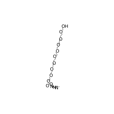 [N-]=[N+]=NOC(=O)OCCOCCOCCOCCOCCOCCOCCOCCOCCO